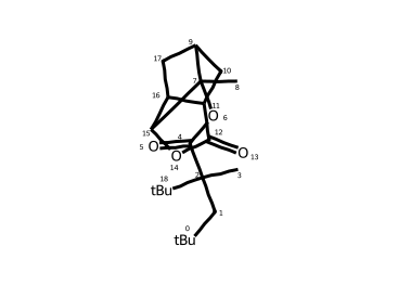 CC(C)(C)CC(C)(C(=O)OC1(C)C2CC3C(=O)OC1C3C2)C(C)(C)C